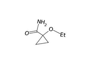 CCOC1(C(N)=O)CC1